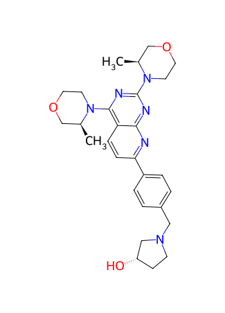 C[C@H]1COCCN1c1nc(N2CCOC[C@@H]2C)c2ccc(-c3ccc(CN4CC[C@H](O)C4)cc3)nc2n1